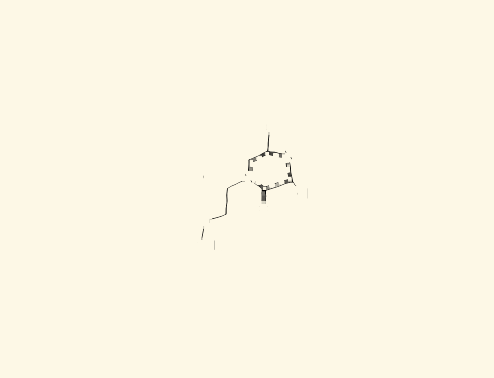 COC[C@H](C)n1cc(Cl)nc(Cl)c1=O